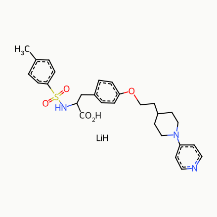 Cc1ccc(S(=O)(=O)NC(Cc2ccc(OCCC3CCN(c4ccncc4)CC3)cc2)C(=O)O)cc1.[LiH]